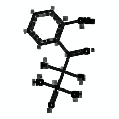 CCC(CC)(C(=O)c1ccccc1OC)P(=O)(O)O